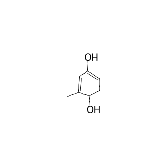 CC1=CC(O)=CCC1O